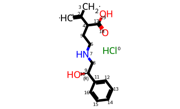 Cl.[CH]=C([CH2])C(CCNC[C@H](O)c1ccccc1)C(=O)O